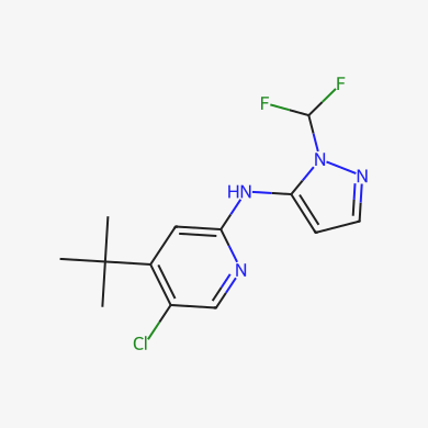 CC(C)(C)c1cc(Nc2ccnn2C(F)F)ncc1Cl